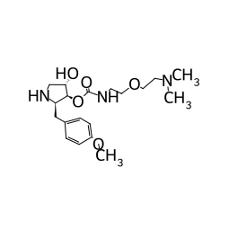 COc1ccc(C[C@H]2NC[C@H](O)[C@H]2OC(=O)NCCOCCN(C)C)cc1